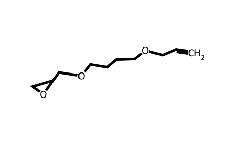 C=CCOCCCCOCC1CO1